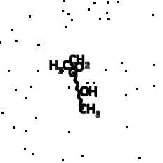 C=C(C)C(=O)OCCCCC(O)CCCC